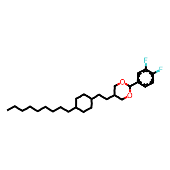 CCCCCCCCCC1CCC(CCC2COC(c3ccc(F)c(F)c3)OC2)CC1